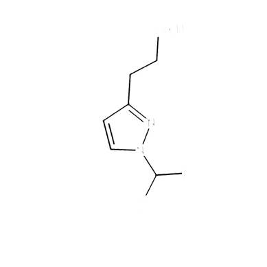 O=C(O)CCc1ccn(C(F)F)n1